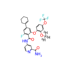 [2H]C([2H])([2H])Oc1cc(OC(F)(F)F)ccc1Oc1cc(C2=CCCCC2)cc(F)c1C(=O)Nc1ccnc(C(N)=O)c1